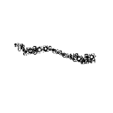 CC(C)(C)OC(=O)CNC(=O)c1ccc(S(=O)(=O)N2CCC(c3ccc(OCCOCCOCCOCCOCCOc4cc(C(C)(C)C)c(NC(=O)c5c[nH]c6ccccc6c5=O)cc4O)cc3)CC2)cc1